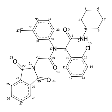 O=C(NC1CCCCC1)C(c1ccccc1Cl)N(C(=O)CN1C(=O)c2ccccc2C1=O)c1cccc(F)c1